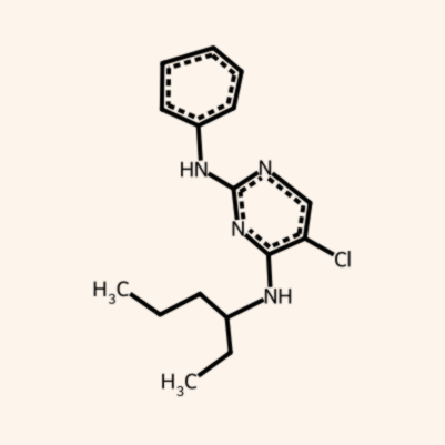 CCCC(CC)Nc1nc(Nc2ccccc2)ncc1Cl